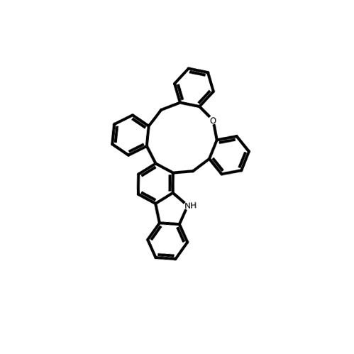 c1ccc2c(c1)Cc1ccccc1-c1ccc3c([nH]c4ccccc43)c1Cc1ccccc1O2